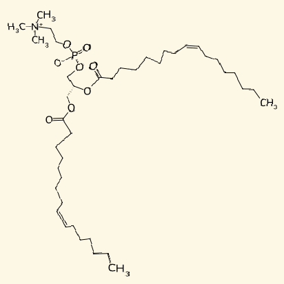 CCCCCC/C=C\CCCCCCCC(=O)OC[C@H](COP(=O)([O-])OCC[N+](C)(C)C)OC(=O)CCCCCCC/C=C\CCCCCCC